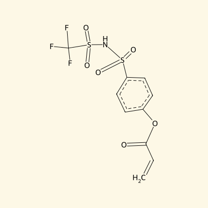 C=CC(=O)Oc1ccc(S(=O)(=O)NS(=O)(=O)C(F)(F)F)cc1